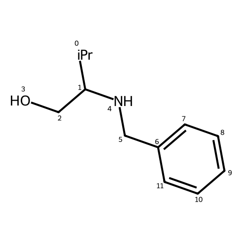 CC(C)C(CO)NCc1ccccc1